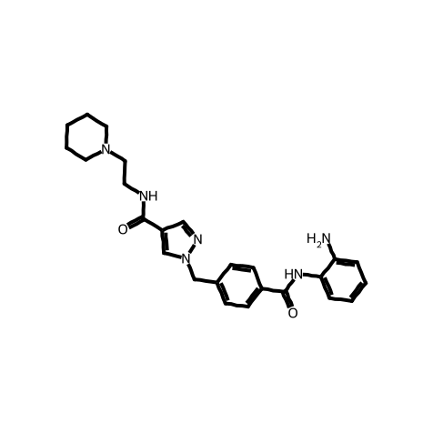 Nc1ccccc1NC(=O)c1ccc(Cn2cc(C(=O)NCCN3CCCCC3)cn2)cc1